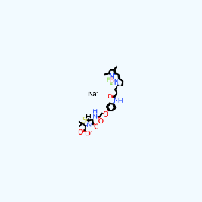 Cc1cc(C)n2c1C=C1C=CC(CCC(=O)Nc3ccc(OCC(=O)N[C@@H]4C(=O)N5[C@@H]4SC(C)(C)[C@@H]5C(=O)[O-])cc3)=[N+]1[B-]2(F)F.[Na+]